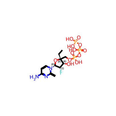 C=C1N=C(N)C=CN1[C@@H]1O[C@](CC)(COP(=O)(O)OP(=O)(O)OP(=O)(O)O)[C@@H](O)[C@@H]1F